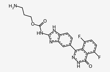 NCCCOC(=O)Nc1nc2cc(-c3n[nH]c(=O)c4c(F)ccc(F)c34)ccc2[nH]1